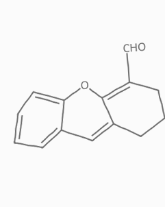 O=CC1=C2Oc3ccccc3C=C2CCC1